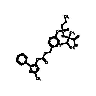 COCP(=O)(NC(C)(C(=O)O)C(C)C)Oc1ccc(COC(=O)Oc2cc(C)nn2-c2ccccc2)cc1